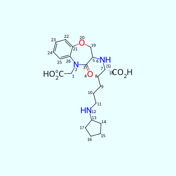 O=C(O)CN1C(=O)C(N[C@@H](CCCCNC2CCCC2)C(=O)O)COc2ccccc21